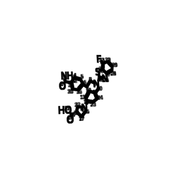 NC(=O)c1ccc(CCN(Cc2ccc(N3CC[C@H](C(=O)O)C3)cc2)c2nc3cccc(F)c3s2)cc1